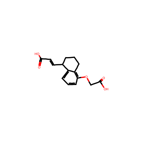 O=C(O)C=CC1CCCc2c(OCC(=O)O)cccc21